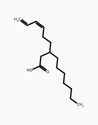 C=C/C=C\CCC(CCCCCCC)CC(=O)O